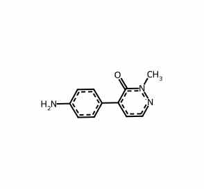 Cn1nccc(-c2ccc(N)cc2)c1=O